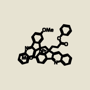 CCCC1(CC2(CCC(=O)Oc3ccccc3)c3cc(OC)ccc3-c3nc4ccccc4cc32)c2cc(OC)ccc2-c2nc3ccccc3cc21